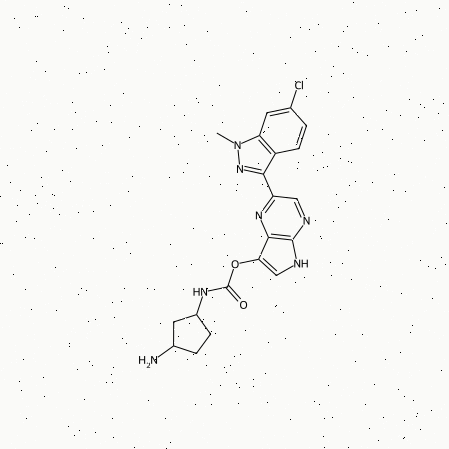 Cn1nc(-c2cnc3[nH]cc(OC(=O)NC4CCC(N)C4)c3n2)c2ccc(Cl)cc21